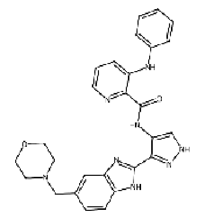 O=C(Nc1c[nH]nc1-c1nc2cc(CN3CCOCC3)ccc2[nH]1)c1ncccc1Nc1ccccc1